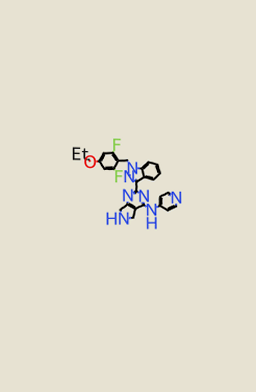 CCOc1cc(F)c(Cn2nc(-c3nc4c(c(Nc5ccncc5)n3)CNC4)c3ccccc32)c(F)c1